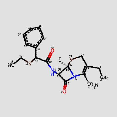 CC(=O)OCC1=C(C(=O)O)N2C(=O)[C@@H](NC(=O)C(SCC#N)c3ccccc3)[C@H]2SC1